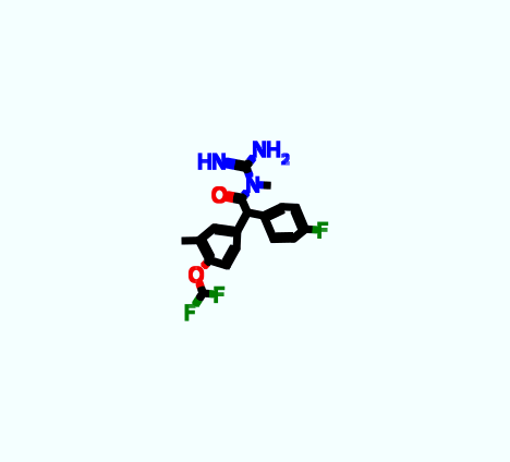 Cc1cc(C(C(=O)N(C)C(=N)N)c2ccc(F)cc2)ccc1OC(F)F